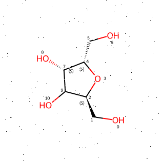 OC[C@@H]1O[C@@H](CO)[C@@H](O)C1O